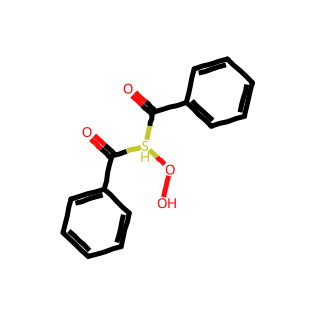 O=C(c1ccccc1)[SH](OO)C(=O)c1ccccc1